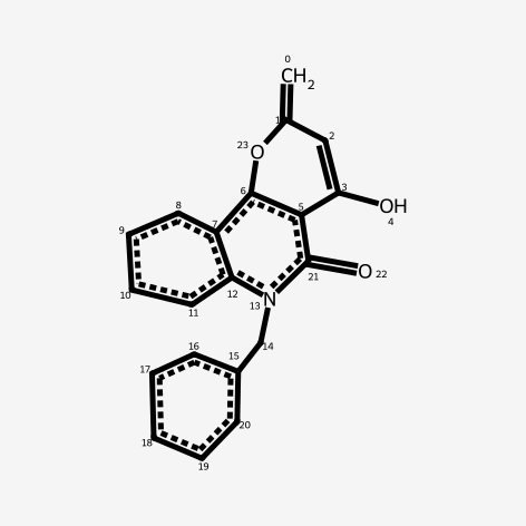 C=C1C=C(O)c2c(c3ccccc3n(Cc3ccccc3)c2=O)O1